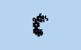 C[C@H](N)CC(=N)C(=O)C1CCN(c2cccc(C(F)(F)F)c2)CC1